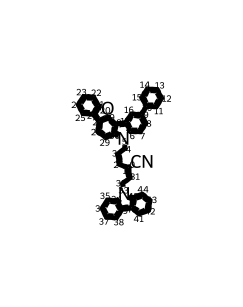 N#CC(/C=C\Cn1c2ccc(-c3ccccc3)cc2c2c3oc4ccccc4c3ccc21)=C/Cn1c2ccccc2c2ccccc21